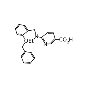 CCN(Cc1ccccc1OCc1ccccc1)c1ccc(C(=O)O)cn1